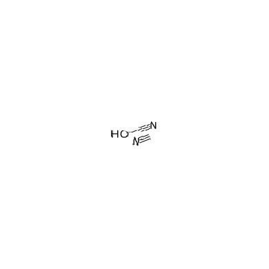 C#N.N#CO